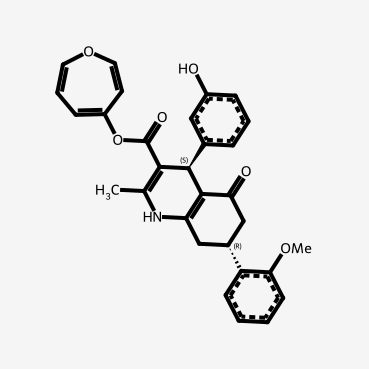 COc1ccccc1[C@H]1CC(=O)C2=C(C1)NC(C)=C(C(=O)OC1=CC=COC=C1)[C@H]2c1cccc(O)c1